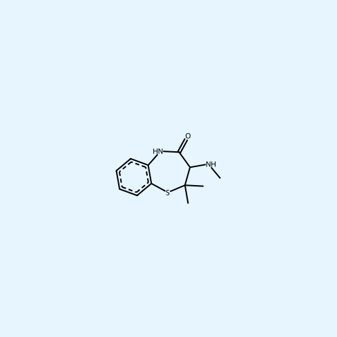 CNC1C(=O)Nc2ccccc2SC1(C)C